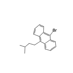 CC(C)CCc1c2ccccc2c(Br)c2ccccc12